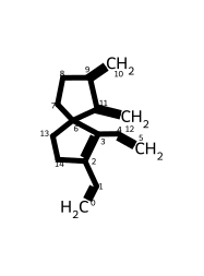 C=CC1=C(C=C)C2(CCC(=C)C2=C)CC1